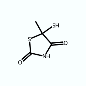 CC1(S)SC(=O)NC1=O